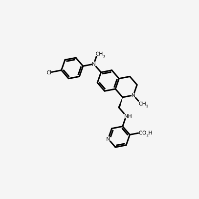 CN(c1ccc(Cl)cc1)c1ccc2c(c1)CCN(C)[C@H]2CNc1cnccc1C(=O)O